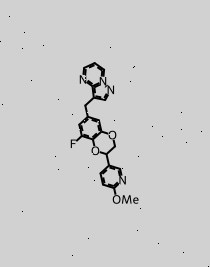 COc1ccc(C2COc3cc(Cc4cnn5cccnc45)cc(F)c3O2)cn1